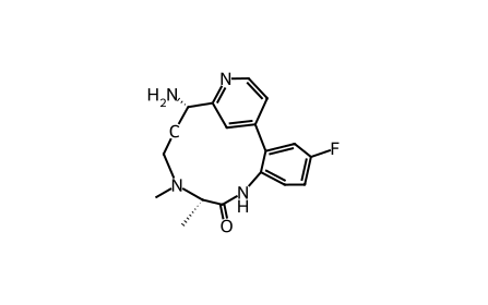 C[C@H]1C(=O)Nc2ccc(F)cc2-c2ccnc(c2)[C@@H](N)CCN1C